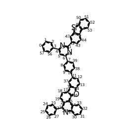 c1ccc(-c2cc(-c3ccc(-c4ccc5oc6c(ccc7c(-c8ccccc8)nc8ccccc8c76)c5c4)cc3)nc(-c3ccc4c(c3)sc3ccccc34)n2)cc1